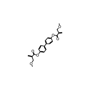 C=C(COC)C(=O)Oc1ccc(-c2ccc(OC(=O)C(=C)COC)cc2)cc1